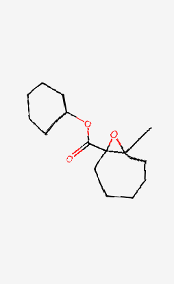 CC12CCCCCC1(C(=O)OC1CCCCC1)O2